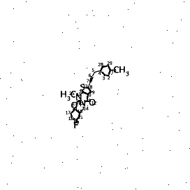 Cc1ccc(CC#Cc2cc3c(=O)n(Cc4cccc(F)c4)c(=O)n(C)c3s2)cc1